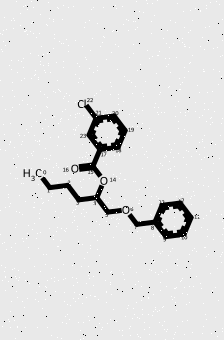 CCCCC(COCc1ccccc1)OC(=O)c1cccc(Cl)c1